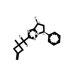 C=C1CC(C)(C(F)(F)c2nc3n(n2)[C@H](c2ccccc2)C[C@@H]3F)C1